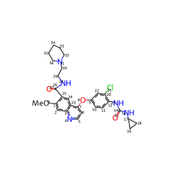 COc1cc2nccc(Oc3ccc(NC(=O)NC4CC4)c(Cl)c3)c2cc1C(=O)NCCN1CCCCC1